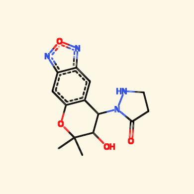 CC1(C)Oc2cc3nonc3cc2C(N2NCCC2=O)C1O